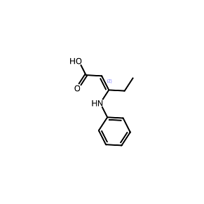 CC/C(=C/C(=O)O)Nc1ccccc1